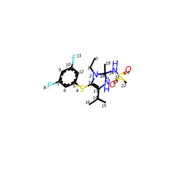 CCN1C(Sc2cc(F)cc(F)c2)=C(C(C)C)NC1(C)NS(C)(=O)=O